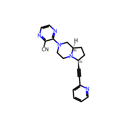 N#Cc1nccnc1N1CCN2[C@H](CC[C@H]2C#Cc2ccccn2)C1